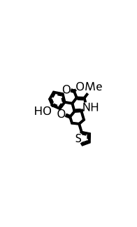 COC(=O)C1=C(C)NC2=C(C(=O)CC(c3cccs3)C2)C1c1cccc(O)c1